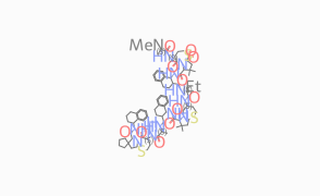 CC[C@H](NCC1CCc2ccccc2C1NC(=O)C1N2C(=O)[C@@H](NC(=O)[C@H](C)NC)CCS(=O)(=O)C2CC1(C)C)C(=O)N[C@H]1CCSC2CC(C)(C)C(C(=O)NC3c4ccccc4CCC3CN[C@@H](C)C(=O)N[C@H]3CCSC4CC5(CCCC5)C(C(=O)NC5CCCc6ccccc65)N4C3=O)N2C1=O